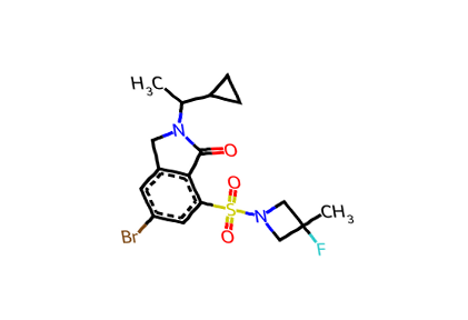 CC(C1CC1)N1Cc2cc(Br)cc(S(=O)(=O)N3CC(C)(F)C3)c2C1=O